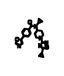 O=C(c1ccc(-c2cnco2)cc1)N(C1CC1)C1CCN(c2noc(C3CC3)n2)CC1